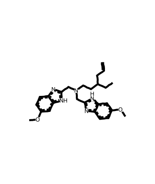 C=CCC(CC)CCN(Cc1nc2ccc(OC)cc2[nH]1)Cc1nc2ccc(OC)cc2[nH]1